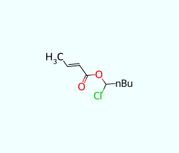 CC=CC(=O)OC(Cl)CCCC